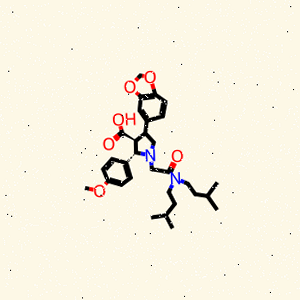 COc1ccc([C@@H]2[C@@H](C(=O)O)C(c3ccc4c(c3)OCO4)CN2CC(=O)N(CCC(C)C)CCC(C)C)cc1